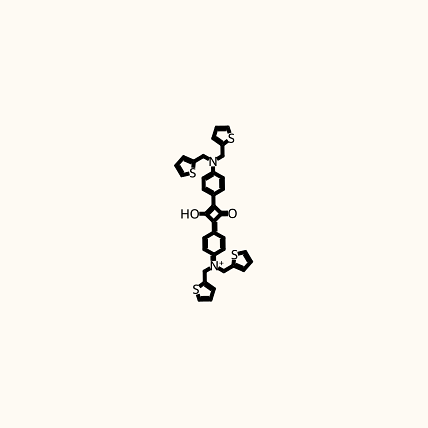 O=C1C(=C2C=CC(=[N+](Cc3cccs3)Cc3cccs3)C=C2)C(O)=C1c1ccc(N(Cc2cccs2)Cc2cccs2)cc1